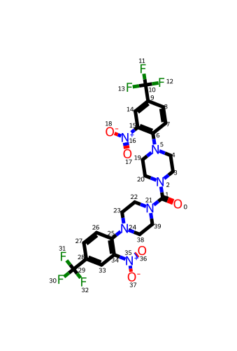 O=C(N1CCN(c2ccc(C(F)(F)F)cc2[N+](=O)[O-])CC1)N1CCN(c2ccc(C(F)(F)F)cc2[N+](=O)[O-])CC1